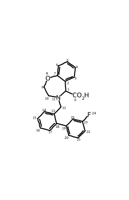 O=C(O)C1c2ccccc2OCCN1Cc1ccccc1-c1cccc(F)c1